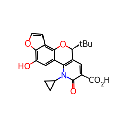 CC(C)(C)[C@@H]1Oc2c(cc(O)c3occc23)-c2c1cc(C(=O)O)c(=O)n2C1CC1